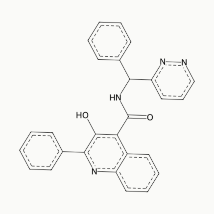 O=C(NC(c1ccccc1)c1cccnn1)c1c(O)c(-c2ccccc2)nc2ccccc12